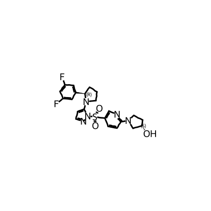 O=S(=O)(c1ccc(N2CC[C@H](O)C2)nc1)n1nccc1N1CCC[C@@H]1c1cc(F)cc(F)c1